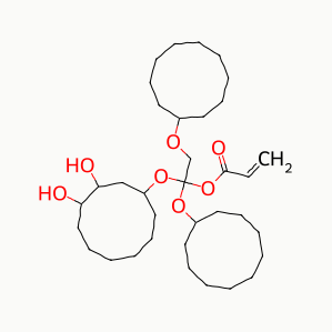 C=CC(=O)OC(COC1CCCCCCCCC1)(OC1CCCCCCCCC1)OC1CCCCCCC(O)C(O)C1